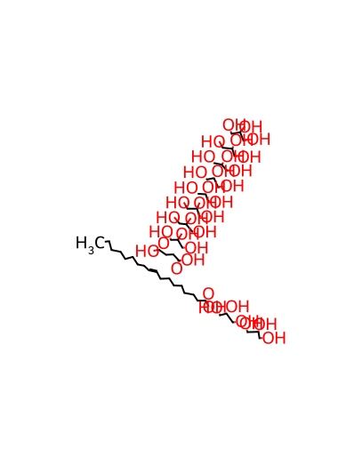 CCCCCCCCC=CCCCCCCCC(=O)O.O=C(O)CCC(=O)O.OCC(O)CO.OCC(O)CO.OCC(O)CO.OCC(O)CO.OCC(O)CO.OCC(O)CO.OCC(O)CO.OCC(O)CO.OCC(O)CO.OCC(O)CO